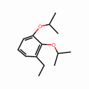 CCc1cccc(OC(C)C)c1OC(C)C